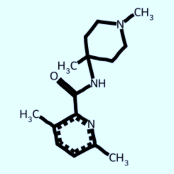 Cc1ccc(C)c(C(=O)NC2(C)CCN(C)CC2)n1